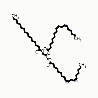 CCCCC/C=C\C/C=C\CCCCCCCC(=O)OC[C@H](COC(=O)CCCCCCCCCCCCCCC)OC(=O)CCCCCCC/C=C\C/C=C\CCCCC